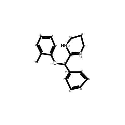 Cc1ccccc1OC(C1=NCCCN1)c1ccccc1